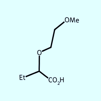 [CH2]CC(OCCOC)C(=O)O